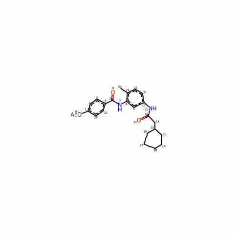 CC(=O)Oc1ccc(C(=O)Nc2cc(NC(=O)CC3CCCCC3)ccc2C)cc1